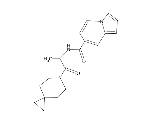 CC(NC(=O)c1ccn2cccc2c1)C(=O)N1CCC2(CC1)CC2